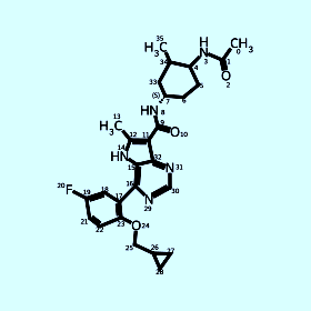 CC(=O)NC1CC[C@H](NC(=O)c2c(C)[nH]c3c(-c4cc(F)ccc4OCC4CC4)ncnc23)CC1C